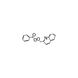 O=C(OOCc1ccc2ccccc2n1)c1ccccc1